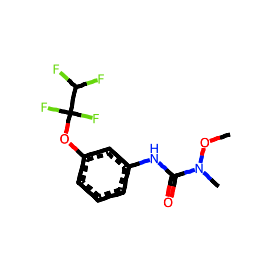 CON(C)C(=O)Nc1cccc(OC(F)(F)C(F)F)c1